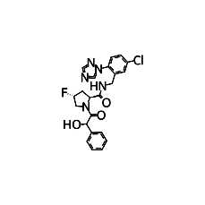 O=C(NCc1cc(Cl)ccc1-n1cncn1)[C@@H]1C[C@@H](F)CN1C(=O)[C@H](O)c1ccccc1